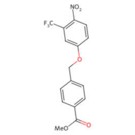 COC(=O)c1ccc(COc2ccc([N+](=O)[O-])c(C(F)(F)F)c2)cc1